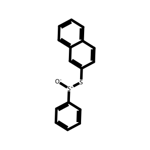 [O-][S+](Sc1ccc2ccccc2c1)c1ccccc1